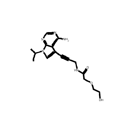 CC(C)n1cc(C#CCNC(=O)COCCO)c2c(N)ncnc21